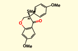 COc1ccc([C@@]2(SC)COc3cc(OC)ccc3C2=O)cc1